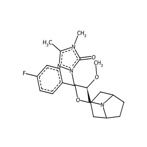 CO[C@@H](CN1C2CCC1CC(OCc1ccc(F)cc1)C2)Cn1nc(C)n(C)c1=O